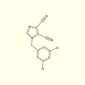 N#Cc1ncn(Cc2cc(Cl)cc(Cl)c2)c1C#N